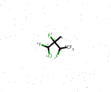 CC(F)(C(F)Cl)C(F)C(F)(F)F